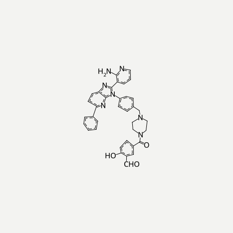 Nc1ncccc1-c1nc2ccc(-c3ccccc3)nc2n1-c1ccc(CN2CCN(C(=O)c3ccc(O)c(C=O)c3)CC2)cc1